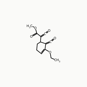 CCOC1=CCCC(C(=C=O)C(=O)OC)C1=C=O